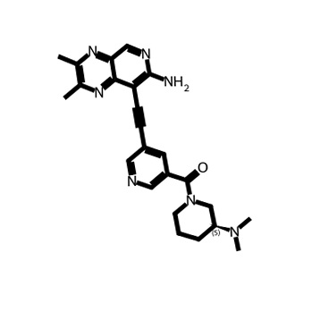 Cc1nc2cnc(N)c(C#Cc3cncc(C(=O)N4CCC[C@H](N(C)C)C4)c3)c2nc1C